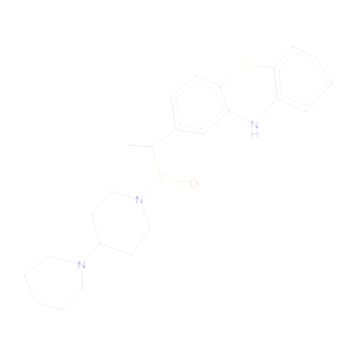 CC(c1ccc2c(c1)Nc1ccccc1S2)[S+]([O-])N1CCC(N2CCCCC2)CC1